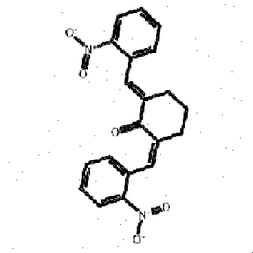 O=C1C(=Cc2ccccc2[N+](=O)[O-])CCCC1=Cc1ccccc1[N+](=O)[O-]